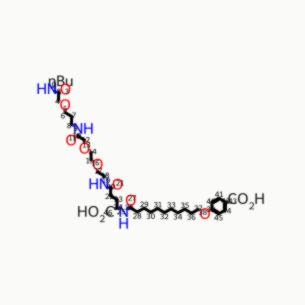 CCCCNC(=O)COCCCNC(=O)COCCOCCNC(=O)CCC(NC(=O)CCCCCCCCCCOc1ccc(C(=O)O)cc1)C(=O)O